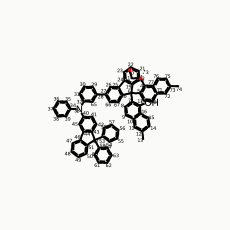 CC[C@H](C)c1c(C2(c3ccc4cc(C)ccc4c3O)c3ccccc3-c3cc(-c4cccc(N(c5ccccc5)c5ccc6c(c5)-c5ccccc5C6(c5ccccc5)c5ccccc5)c4)ccc32)ccc2cc(C)ccc12